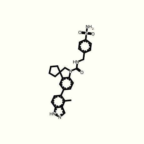 Cc1c(-c2ccc3c(c2)C2(CCCC2)CN3C(=O)NCc2ccc(S(N)(=O)=O)cc2)ccc2[nH]ncc12